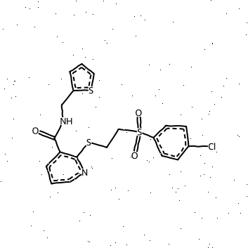 O=C(NCc1cccs1)c1cccnc1SCCS(=O)(=O)c1ccc(Cl)cc1